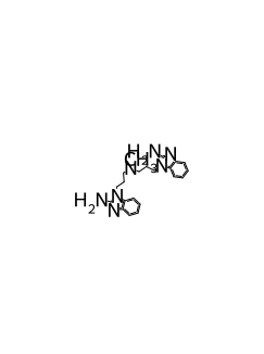 CN(CCCn1c(N)nc2ccccc21)CCCn1c(N)nc2ccccc21